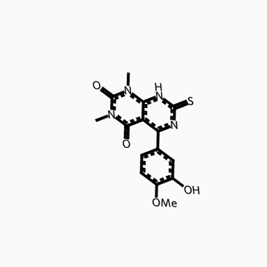 COc1ccc(-c2nc(=S)[nH]c3c2c(=O)n(C)c(=O)n3C)cc1O